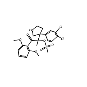 COc1cccc(OC)c1C(=O)C(C)(OS(C)(=O)=O)C1(c2ccc(Cl)c(Cl)c2)CCNC1